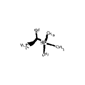 C=C(S)[PH](C)(C)C